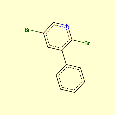 Brc1cnc(Br)c(-c2ccccc2)c1